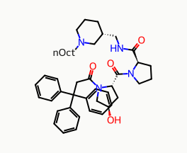 CCCCCCCCN1CCC[C@H](CNC(=O)[C@H]2CCCN2C(=O)[C@@H]2C[C@@H](O)CN2C(=O)CC(c2ccccc2)(c2ccccc2)c2ccccc2)C1